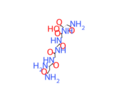 NC(=O)C[C@H](NC(=O)CNC(=O)CNC(=O)CNC(=O)[C@@H](N)CC(N)=O)C(=O)O